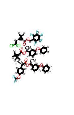 CC(C)[C@H](C(=O)OC(C#N)c1cccc(Oc2ccccc2)c1)c1ccc(OC(F)F)cc1.CC1(C)C(C(=O)OC(C#N)c2cccc(Oc3ccccc3)c2)C1(C)C.CC1(C)[C@H](C=C(Cl)Cl)[C@H]1C(=O)OCc1c(F)c(F)c(F)c(F)c1F